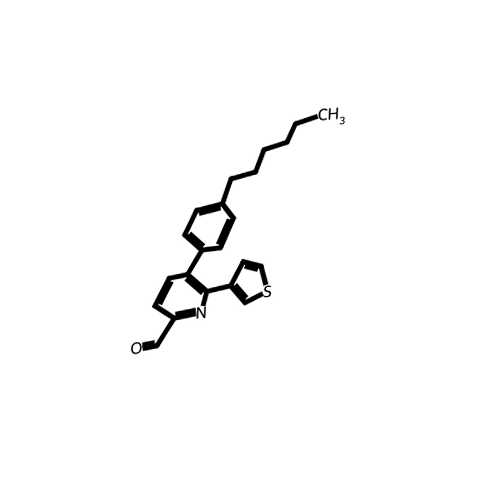 CCCCCCc1ccc(-c2ccc(C=O)nc2-c2ccsc2)cc1